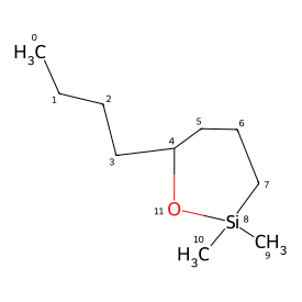 CCCCC1CCC[Si](C)(C)O1